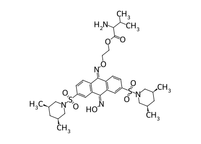 CC(C)C(N)C(=O)OCCON=C1c2ccc(S(=O)(=O)N3C[C@H](C)C[C@H](C)C3)cc2C(=NO)c2cc(S(=O)(=O)N3C[C@H](C)C[C@H](C)C3)ccc21